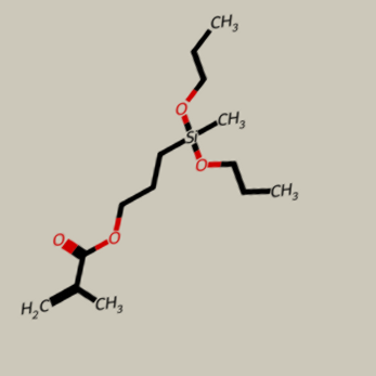 C=C(C)C(=O)OCCC[Si](C)(OCCC)OCCC